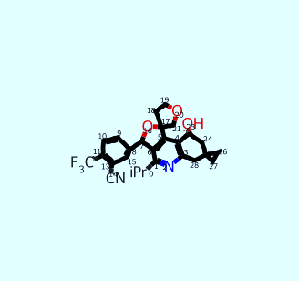 CC(C)c1nc2c(c3c1C(c1ccc(C(F)(F)F)c(C#N)c1)OC31CCOC1)C(O)CC1(CC1)C2